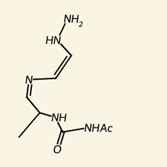 CC(=O)NC(=O)NC(C)/C=N\C=C/NN